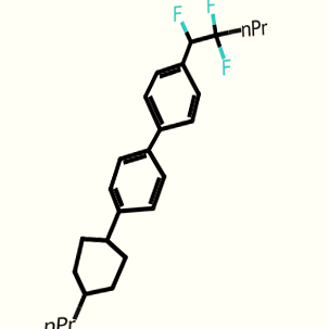 CCCC1CCC(c2ccc(-c3ccc(C(F)C(F)(F)CCC)cc3)cc2)CC1